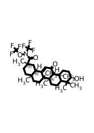 CC1(C)C2CC[C@]3(C)[C@H](C(=O)C=C4[C@@H]5C[C@@](C)(C(=O)N(OC(F)(F)F)C(F)(F)F)CC[C@]5(C)CC[C@]43C)[C@@]2(C)CC[C@@H]1O